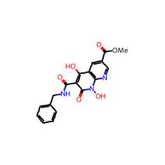 COC(=O)c1cnc2c(c1)c(O)c(C(=O)NCc1ccccc1)c(=O)n2O